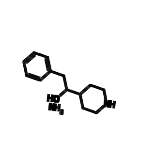 N.OC(Cc1ccccc1)C1CCNCC1